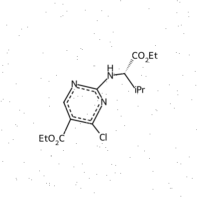 CCOC(=O)c1cnc(N[C@H](C(=O)OCC)C(C)C)nc1Cl